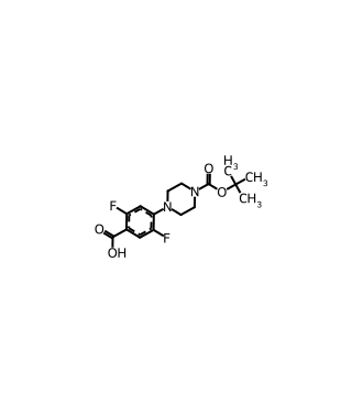 CC(C)(C)OC(=O)N1CCN(c2cc(F)c(C(=O)O)cc2F)CC1